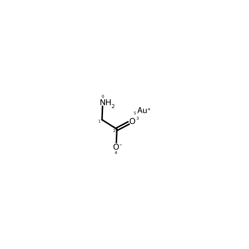 NCC(=O)[O-].[Au+]